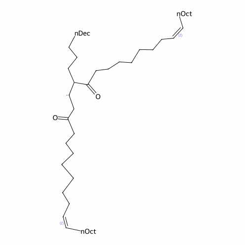 CCCCCCCC/C=C\CCCCCCCC(=O)C[CH]C(CCCCCCCCCCCCC)C(=O)CCCCCCC/C=C\CCCCCCCC